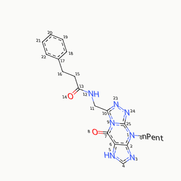 CCCCCn1c2nc[nH]c2c(=O)n2c(CNC(=O)CCc3ccccc3)nnc12